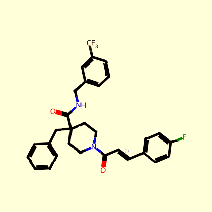 O=C(/C=C/c1ccc(F)cc1)N1CCC(Cc2ccccc2)(C(=O)NCc2cccc(C(F)(F)F)c2)CC1